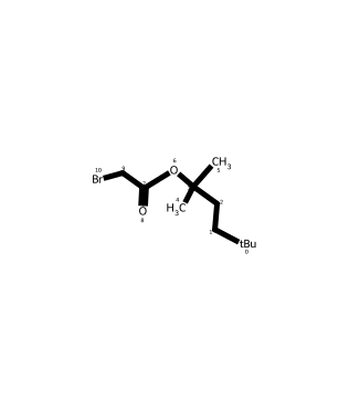 CC(C)(C)CCC(C)(C)OC(=O)CBr